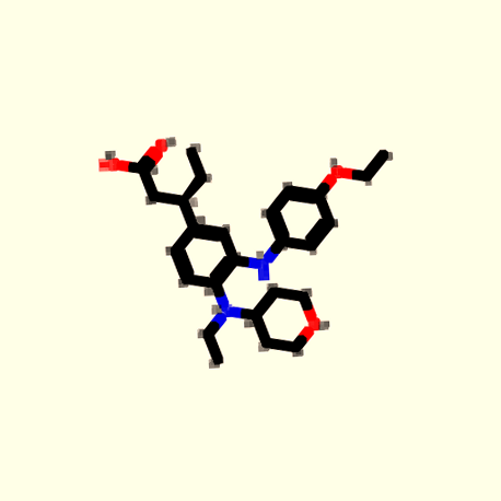 CCOc1ccc(Nc2cc([C@H](CC)CC(=O)O)ccc2N(CC)C2CCOCC2)cc1